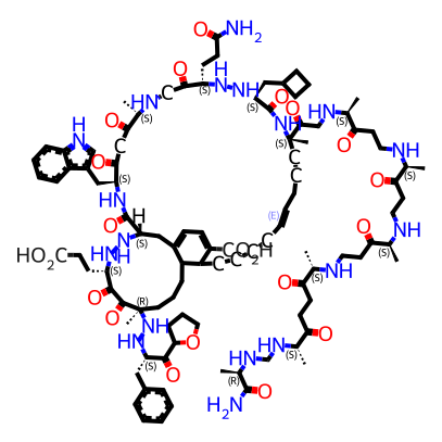 C[C@H](NCCC(=O)[C@H](C)NCCC(=O)[C@H](C)NCC(=O)[C@]1(C)CCC/C=C/CCCCC2C(C(=O)O)=CC=C3C[C@H](NN[C@@H](CCC(=O)O)C(=O)C(=O)[C@](C)(NN[C@@H](Cc4ccccc4)C(=O)C4CCCO4)CCCC32)C(=O)N[C@@H](Cc2c[nH]c3ccccc23)C(=O)CC(=O)[C@H](C)NCC(=O)[C@H](CCC(N)=O)NN[C@@H](CC2CCC2)C(=O)N1)C(=O)CCN[C@@H](C)C(=O)CCC(=O)[C@H](C)NCN[C@H](C)C(N)=O